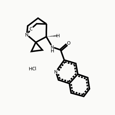 Cl.O=C(N[C@@H]1C2CCN(CC2)C12CC2)c1cc2ccccc2cn1